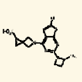 C[C@H]1CCN1c1nc(N2CC3(CC3C(=O)O)C2)c2cc(Cl)sc2n1